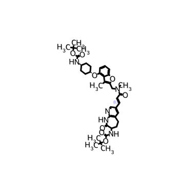 Cc1c(CN(C)C(=O)/C=C/c2cnc3c(c2)CCC(NC(=O)OC(C)(C)C)C(=O)N3)oc2cccc(O[C@H]3CC[C@H](NC(=O)OC(C)(C)C)CC3)c12